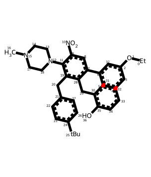 CCOc1cccc(-c2[c]c([N+](=O)[O-])c(N3CCN(C)CC3)c(Cc3ccc(C(C)(C)C)cc3)c2Cc2ccccc2O)c1